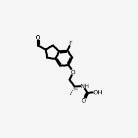 C[C@H](COc1cc(F)c2c(c1)CC(C=O)C2)NC(=O)O